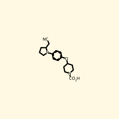 N#CCC1CCCN1c1ccc(OC2CCN(C(=O)O)CC2)cc1